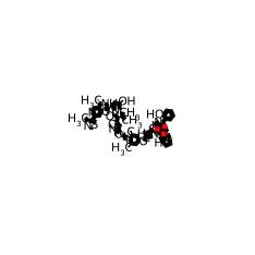 Cc1ncsc1-c1ccc([C@H](C)NC(=O)[C@@H]2C[C@@H](O)CN2C(=O)[C@@H](c2cc(OCCN3[C@H](C)CC(OC4CC(Oc5cc(N6C7CC[C@@H]6CN(c6cc(-c8ccccc8O)nnc6N)C7)ccn5)C4)C[C@@H]3C)no2)C(C)C)cn1